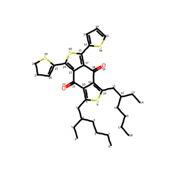 CCCCC(CC)Cc1sc(CC(CC)CCCC)c2c1C(=O)c1c(C3=CCCS3)sc(-c3cccs3)c1C2=O